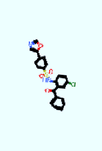 O=C(c1ccccc1)c1cc(Cl)ccc1NS(=O)(=O)c1ccc(-c2cnco2)cc1